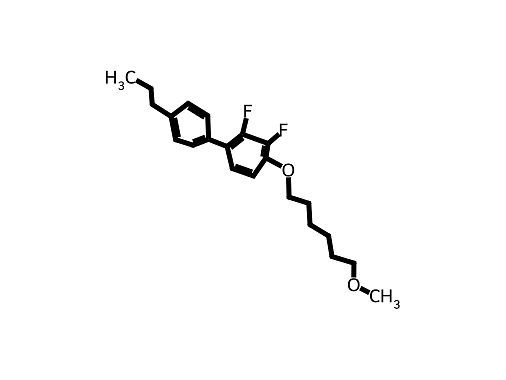 CCCc1ccc(-c2ccc(OCCCCCCOC)c(F)c2F)cc1